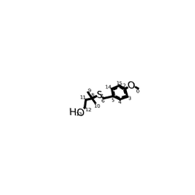 COc1ccc(CSC(C)(C)CCO)cc1